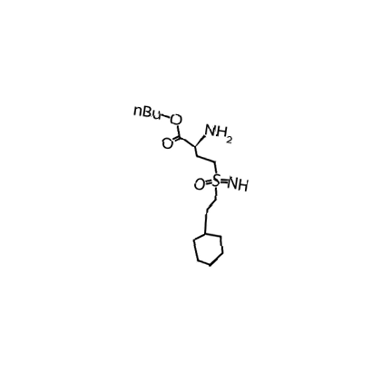 CCCCOC(=O)[C@@H](N)CCS(=N)(=O)CCC1CCCCC1